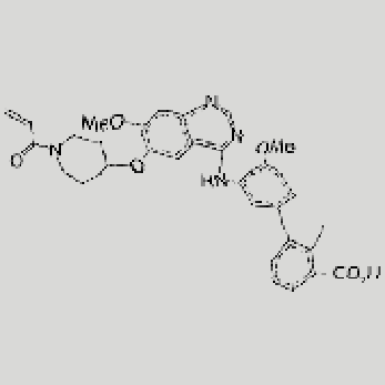 C=CC(=O)N1CCC(Oc2cc3c(Nc4cc(-c5cccc(C(=O)O)c5C)ccc4OC)ncnc3cc2OC)CC1